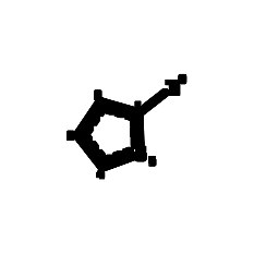 [Ti][c]1cccs1